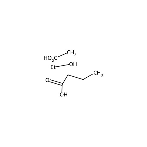 CC(=O)O.CCCC(=O)O.CCO